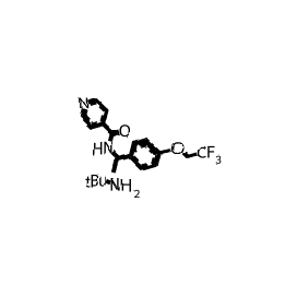 CC(C)(C)N.CC(NC(=O)c1ccncc1)c1ccc(OCC(F)(F)F)cc1